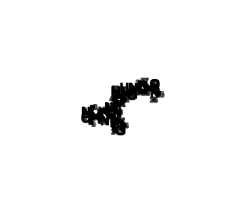 CC1=NOC(C)C1c1cnc2c(N3CCOCC3)nc(-c3ccc(NC(=O)Nc4ccc(C(=O)N(C)C)cc4)c(F)c3)nc2c1